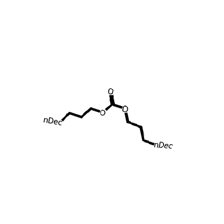 CCCCCCCCCCCCCOC(=O)OCCCCCCCCCCCCC